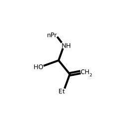 C=C(CC)C(O)NCCC